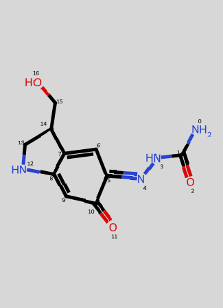 NC(=O)N/N=C1\C=C2C(=CC1=O)NCC2CO